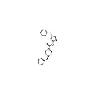 O=C(On1cc(Sc2ccccc2)cn1)N1CCN(Cc2ccccc2)CC1